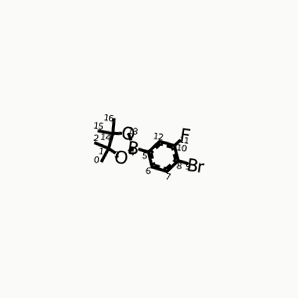 CC1(C)OB(c2ccc(Br)c(F)c2)OC1(C)C